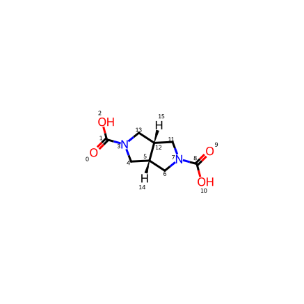 O=C(O)N1C[C@H]2CN(C(=O)O)C[C@H]2C1